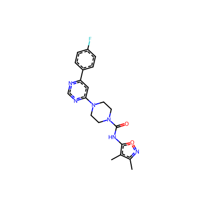 Cc1noc(NC(=O)N2CCN(c3cc(-c4ccc(F)cc4)ncn3)CC2)c1C